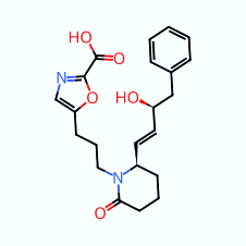 O=C(O)c1ncc(CCCN2C(=O)CCC[C@@H]2C=C[C@@H](O)Cc2ccccc2)o1